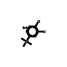 C[N+](C)(C)c1ccc(Cl)c(Cl)c1.[SnH4]